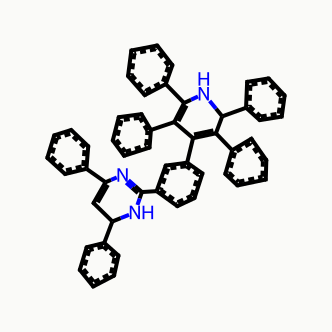 C1=C(c2ccccc2)N=C(c2cccc(C3=C(c4ccccc4)C(c4ccccc4)NC(c4ccccc4)=C3c3ccccc3)c2)NC1c1ccccc1